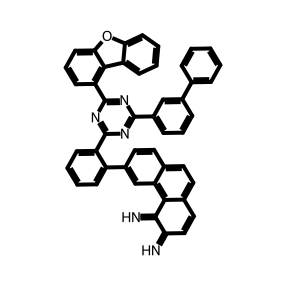 N=C1C=Cc2ccc3ccc(-c4ccccc4-c4nc(-c5cccc(-c6ccccc6)c5)nc(-c5cccc6oc7ccccc7c56)n4)cc3c2C1=N